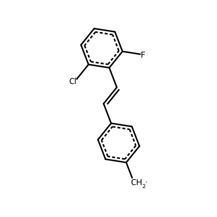 [CH2]c1ccc(C=Cc2c(F)cccc2Cl)cc1